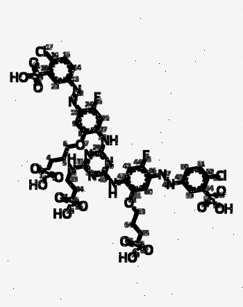 O=S(=O)(O)CCCOc1cc(N=Nc2ccc(Cl)c(S(=O)(=O)O)c2)c(F)cc1Nc1nc(NCCS(=O)(=O)O)nc(Nc2cc(F)c(N=Nc3ccc(Cl)c(S(=O)(=O)O)c3)cc2OCCCS(=O)(=O)O)n1